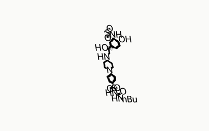 CCCCNC(=O)NS(=O)(=O)c1ccc(N2CCC(NC[C@H](O)c3ccc(O)c(NS(C)(=O)=O)c3)CC2)cc1